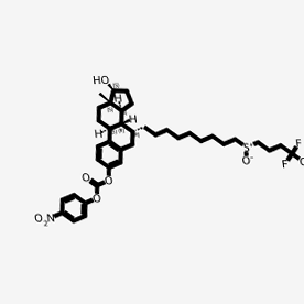 C[C@]12CC[C@@H]3c4ccc(OC(=O)Oc5ccc([N+](=O)[O-])cc5)cc4C[C@@H](CCCCCCCCC[S+]([O-])CCCC(F)(F)C(F)(F)F)[C@H]3[C@@H]1CC[C@@H]2O